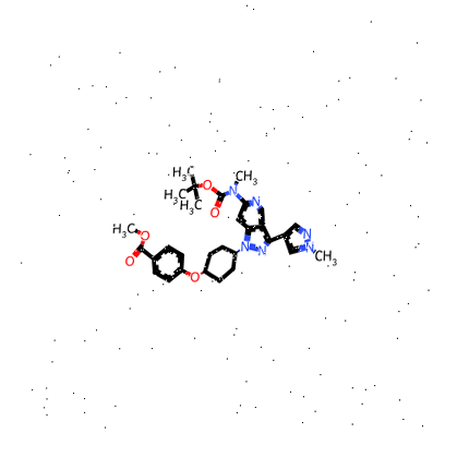 COC(=O)c1ccc(O[C@H]2CC[C@@H](n3nc(-c4cnn(C)c4)c4cnc(N(C)C(=O)OC(C)(C)C)cc43)CC2)cc1